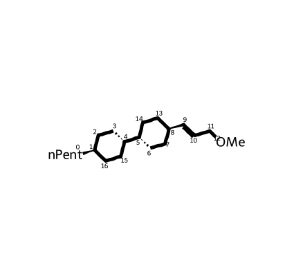 CCCCC[C@H]1CC[C@H]([C@H]2CC[C@H](C=CCOC)CC2)CC1